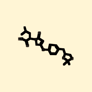 CC(C)CC(C(=O)O)N1CC(Oc2ccc(CC3COC(C)(C)O3)cc2)=CC1=O